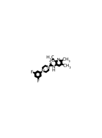 COc1nc(C)c(C)cc1NC(=S)N1CCN(c2cc(F)cc(F)c2)CC1